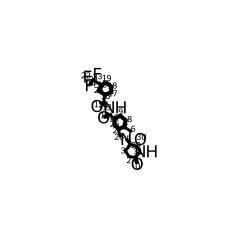 O=C1CCC(N2Cc3ccc(C(=O)NC(=O)c4cccc(C(F)(F)F)c4)cc3C2)C(=O)N1